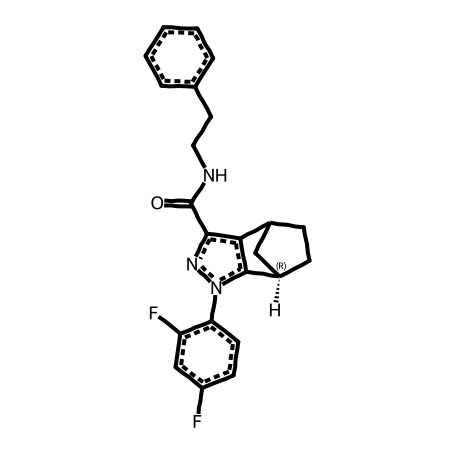 O=C(NCCc1ccccc1)c1nn(-c2ccc(F)cc2F)c2c1C1CC[C@@H]2C1